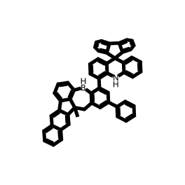 CC12Cc3cc(-c4ccccc4)cc(-c4cccc5c4Nc4ccccc4C54c5ccccc5-c5ccccc54)c3Bc3cccc(c31)-c1cc3ccccc3cc12